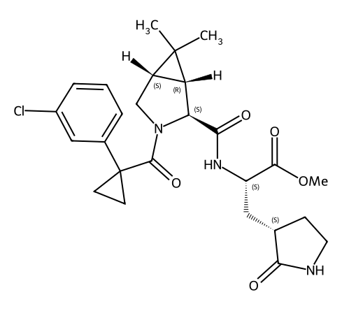 COC(=O)[C@H](C[C@@H]1CCNC1=O)NC(=O)[C@@H]1[C@@H]2[C@H](CN1C(=O)C1(c3cccc(Cl)c3)CC1)C2(C)C